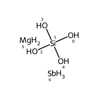 O[Si](O)(O)O.[MgH2].[SbH3]